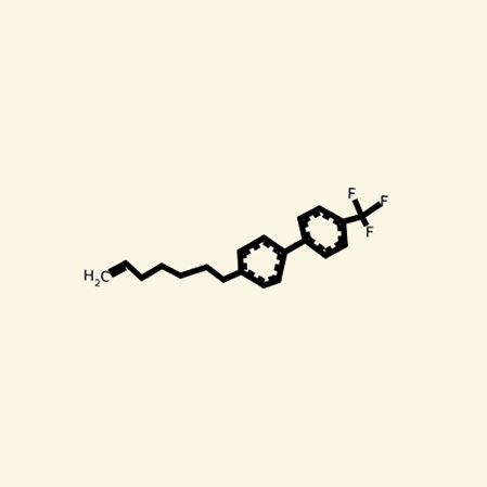 C=CCCC[CH]Cc1ccc(-c2ccc(C(F)(F)F)cc2)cc1